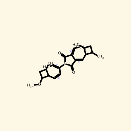 C/C=C1/C(=O)N(C(/C=C\C2C(C)CC2OC)=C/C)C(=O)/C1=C/C1C(C)CC1C